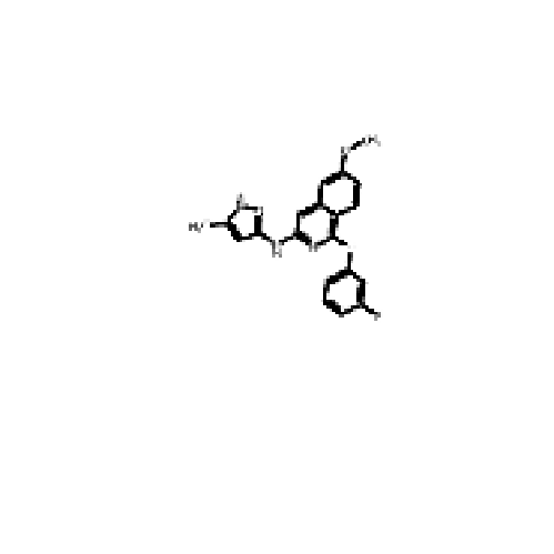 COc1ccc2c(Oc3cccc(F)c3)nc(Nc3cc(C)[nH]n3)cc2c1